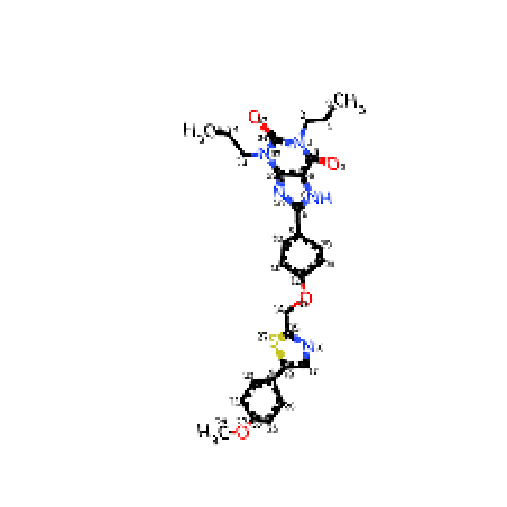 CCCn1c(=O)c2[nH]c(-c3ccc(OCc4ncc(-c5ccc(OC)cc5)s4)cc3)nc2n(CCC)c1=O